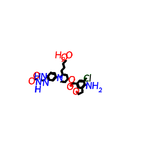 COC(=O)Nc1nc2cc(N3CCC(OC(=O)c4cc(Cl)c(N)c5c4OCC5)CC3CCCC=O)ccc2[nH]1.O